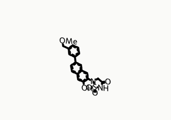 COCc1cccc(-c2ccc3cc(O)c(N4CC(=O)NS4(=O)=O)cc3c2)c1